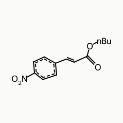 CCCCOC(=O)C=Cc1ccc([N+](=O)[O-])cc1